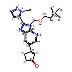 Cn1nccc1-c1nc2cc(C3=CC(=O)CC3)cnc2n1COCC[Si](C)(C)C